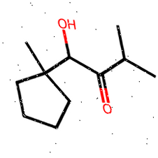 CC(C)C(=O)C(O)C1(C)CCCC1